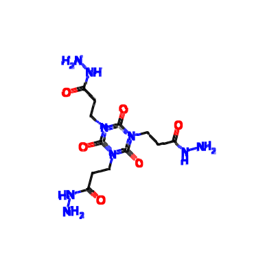 NNC(=O)CCn1c(=O)n(CCC(=O)NN)c(=O)n(CCC(=O)NN)c1=O